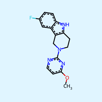 COc1ccnc(N2CCc3[nH]c4ccc(F)cc4c3C2)n1